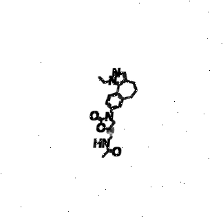 CCn1ncc2c1-c1ccc(N3C[C@H](CNC(C)=O)OC3=O)cc1CCC2